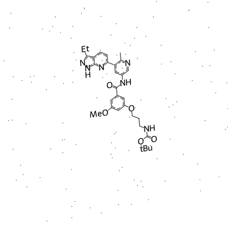 CCc1n[nH]c2nc(-c3cc(NC(=O)c4cc(OC)cc(OCCCNC(=O)OC(C)(C)C)c4)cnc3C)ccc12